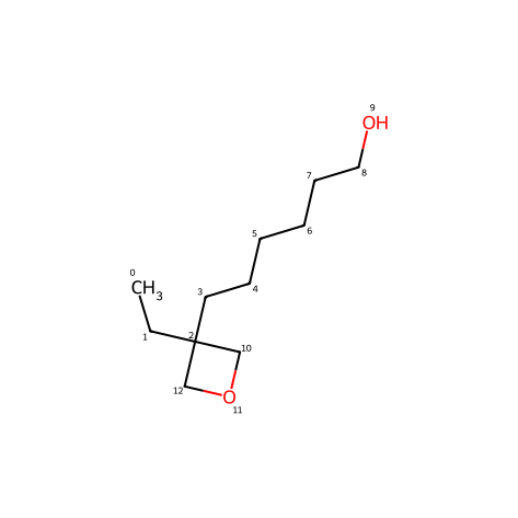 CCC1(CCCCCCO)COC1